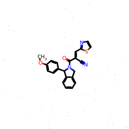 COc1ccc(C2c3ccccc3CN2C(=O)C(C#N)=Cc2nccs2)cc1